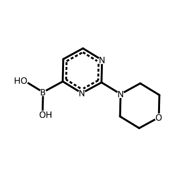 OB(O)c1ccnc(N2CCOCC2)n1